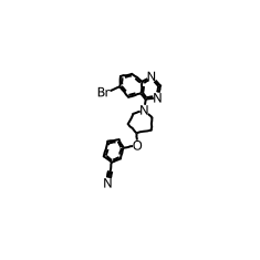 N#Cc1cccc(OC2CCN(c3ncnc4ccc(Br)cc34)CC2)c1